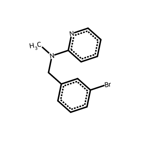 CN(Cc1cccc(Br)c1)c1ccccn1